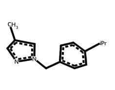 Cc1cnn(Cc2ccc(C(C)C)cc2)c1